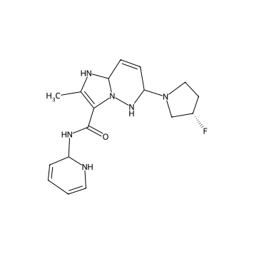 CC1=C(C(=O)NC2C=CC=CN2)N2NC(N3CC[C@H](F)C3)C=CC2N1